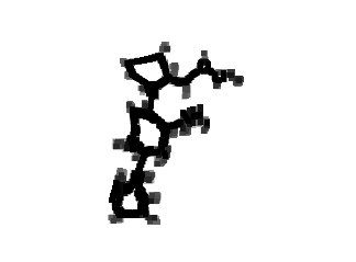 COCC1CCCN1c1cnc(-n2cccn2)nc1N